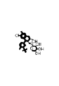 Cc1cc2c(cc1Cl)C(c1ccc(C)c(C(C)(C)C)c1)[C@H](CO[C@@H]1OC[C@@H](O)[C@H](O)[C@H]1O)[C@@H](CO)C2